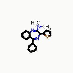 CN(C)C1=Nc2ccccc2C(c2ccccc2)=NC1c1cccs1